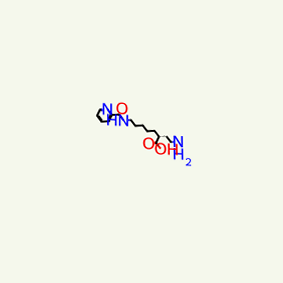 NCC[C@@H](CCCCCNC(=O)c1ccccn1)C(=O)O